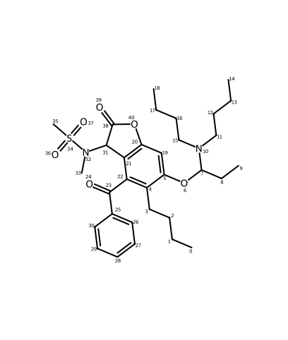 CCCCc1c(OC(CC)N(CCCC)CCCC)cc2c(c1C(=O)c1ccccc1)C(N(C)S(C)(=O)=O)C(=O)O2